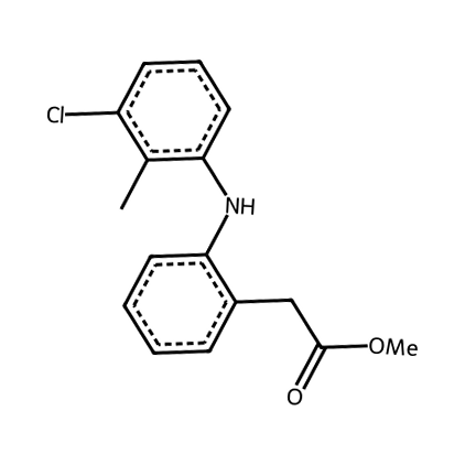 COC(=O)Cc1ccccc1Nc1cccc(Cl)c1C